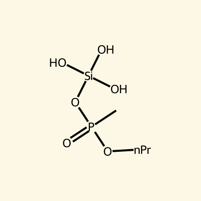 CCCOP(C)(=O)O[Si](O)(O)O